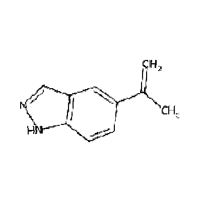 C=C(C)c1ccc2[nH]ncc2c1